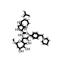 CSC1C[C@H](O)C(O)C(O)[C@@H]([C@H](NC(=O)[C@H]2NC[C@@H]3C[C@H](CC(C)C)CCO[C@H]32)[C@H](C)Sc2ccc(CN3CCCCC3)cc2)O1